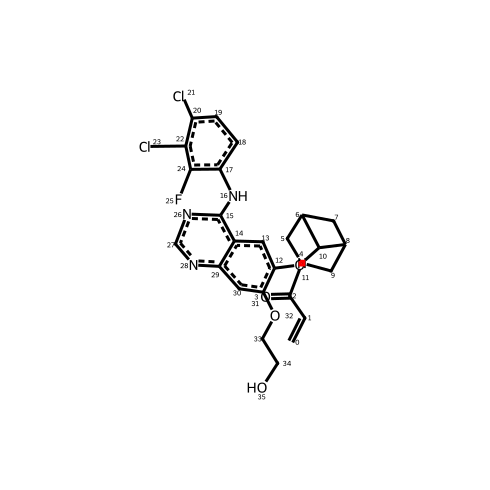 C=CC(=O)N1CC2CC(C1)C2Oc1cc2c(Nc3ccc(Cl)c(Cl)c3F)ncnc2cc1OCCO